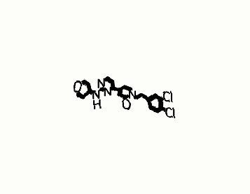 O=c1cc(-c2ccnc(NC3CCOCC3)n2)ccn1CCc1ccc(Cl)c(Cl)c1